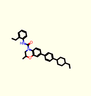 CCc1ccccc1NC(=O)N1CC(C)Oc2cc(-c3ccc(C4CCC(CC)CC4)cc3)ccc21